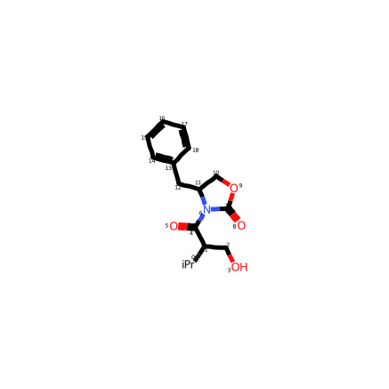 CC(C)C(CO)C(=O)N1C(=O)OCC1Cc1ccccc1